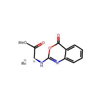 CC[C@H](C)[C@H](Nc1nc2ccccc2c(=O)o1)C(=O)OC